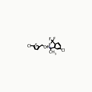 C/C(=N\OCc1ccc(Cl)s1)c1cc(Cl)ccc1C(F)(F)F